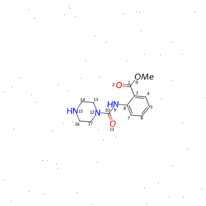 COC(=O)c1ccccc1NC(=O)N1CCNCC1